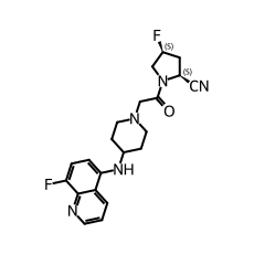 N#C[C@@H]1C[C@H](F)CN1C(=O)CN1CCC(Nc2ccc(F)c3ncccc23)CC1